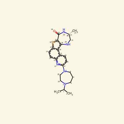 CC(C)N1CCCN(c2ccc3c(ccc4sc5c(c43)NC[C@@H](C)NC5=O)n2)CC1